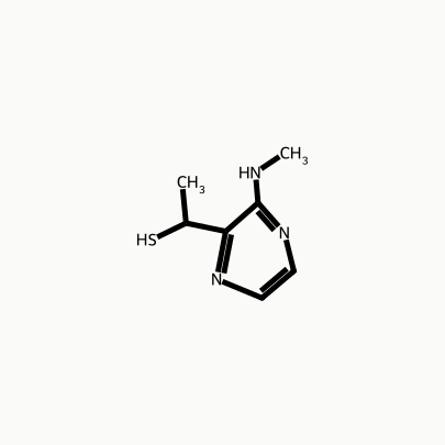 CNc1nccnc1C(C)S